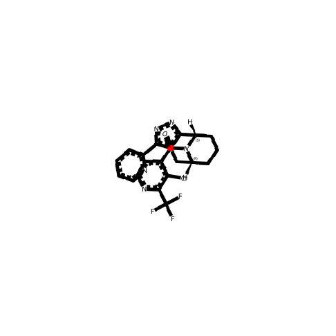 O=C(c1ccnc(C(F)(F)F)c1Cl)N1[C@@H]2CCC[C@H]1c1nnc(-c3ccccn3)n1C2